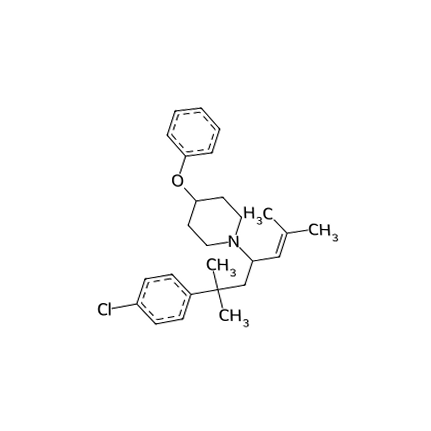 CC(C)=CC(CC(C)(C)c1ccc(Cl)cc1)N1CCC(Oc2ccccc2)CC1